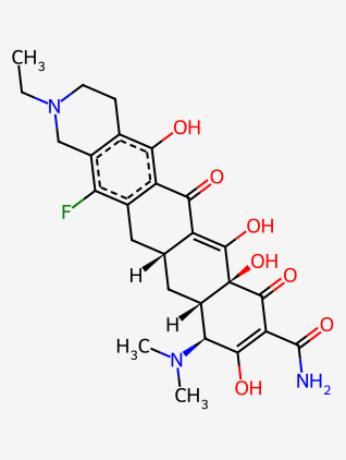 CCN1CCc2c(O)c3c(c(F)c2C1)C[C@H]1C[C@H]2[C@H](N(C)C)C(O)=C(C(N)=O)C(=O)[C@@]2(O)C(O)=C1C3=O